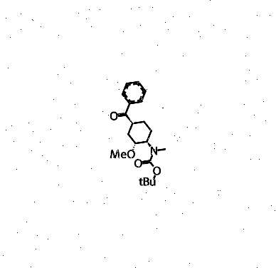 CO[C@@H]1C[C@@H](C(=O)c2ccccc2)CC[C@H]1N(C)C(=O)OC(C)(C)C